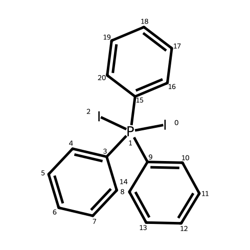 IP(I)(c1ccccc1)(c1ccccc1)c1ccccc1